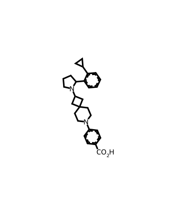 O=C(O)c1ccc(N2CCC3(CC2)CC(N2CCCC2c2ccccc2C2CC2)C3)cc1